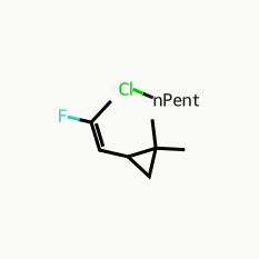 C/C(F)=C\C1CC1(C)C.CCCCCCl